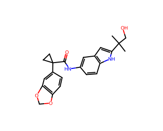 CC(C)(CO)c1cc2cc(NC(=O)C3(c4ccc5c(c4)OCO5)CC3)ccc2[nH]1